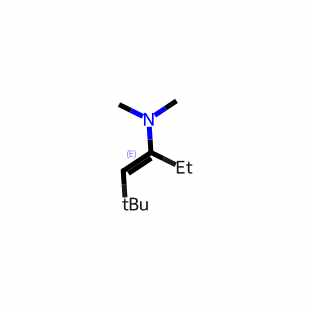 CC/C(=C\C(C)(C)C)N(C)C